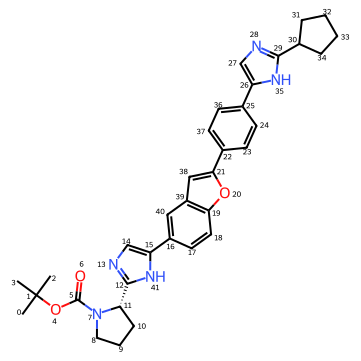 CC(C)(C)OC(=O)N1CCC[C@H]1c1ncc(-c2ccc3oc(-c4ccc(-c5cnc(C6CCCC6)[nH]5)cc4)cc3c2)[nH]1